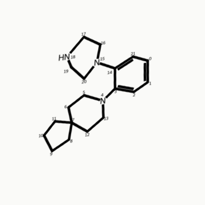 c1ccc(N2CCC3(CCCC3)CC2)c(N2CCNCC2)c1